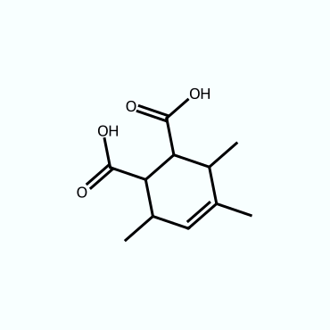 CC1=CC(C)C(C(=O)O)C(C(=O)O)C1C